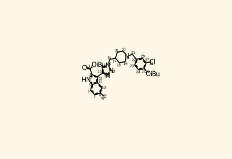 CC(C)COC(=O)c1[nH]c2ccc(F)cc2c1-c1cn(CC2CCN(Cc3ccc(OCC(C)C)c(Cl)c3)CC2)nn1